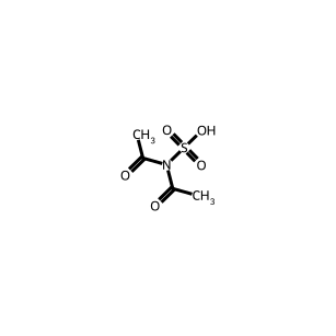 CC(=O)N(C(C)=O)S(=O)(=O)O